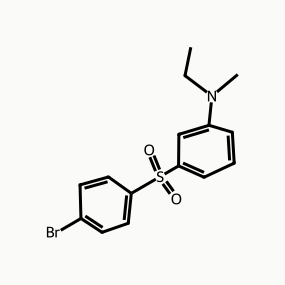 CCN(C)c1cccc(S(=O)(=O)c2ccc(Br)cc2)c1